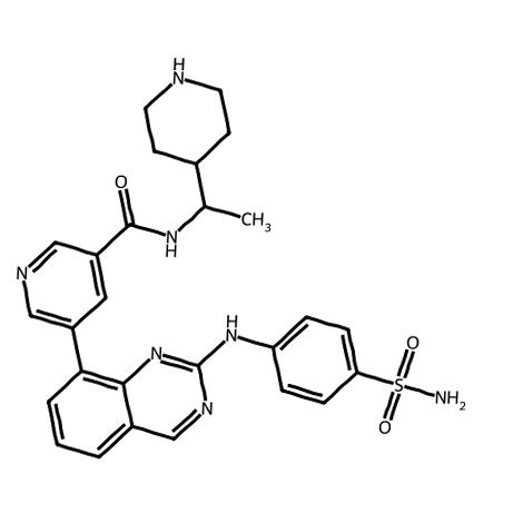 CC(NC(=O)c1cncc(-c2cccc3cnc(Nc4ccc(S(N)(=O)=O)cc4)nc23)c1)C1CCNCC1